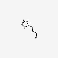 ICCCn1cccc1